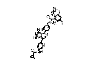 COc1ccc(F)cc1C(=O)NCc1ccc(-c2ncc(-c3ccc(NC(=O)C4CC4)cn3)c3[nH]nc(N)c23)cc1